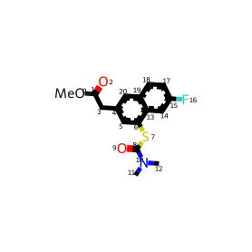 COC(=O)Cc1cc(SC(=O)N(C)C)c2cc(F)ccc2c1